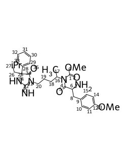 COC(=O)N(C(=O)[C@@H](N)Cc1ccc(OC)cc1)C(C)CCCN1C(=N)NC(CC(C)C)(c2ccccc2)C1=O